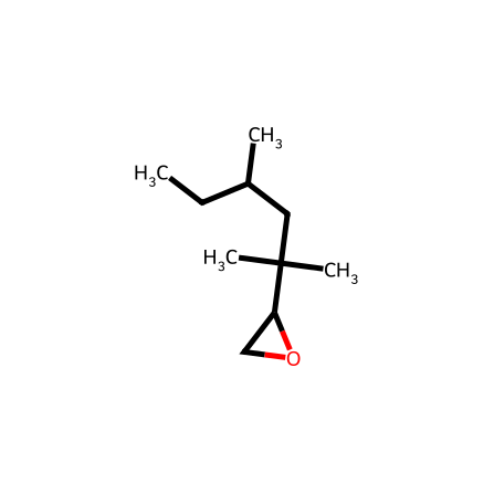 CCC(C)CC(C)(C)C1CO1